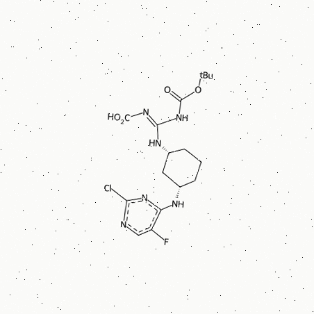 CC(C)(C)OC(=O)N/C(=N/C(=O)O)N[C@@H]1CCC[C@H](Nc2nc(Cl)ncc2F)C1